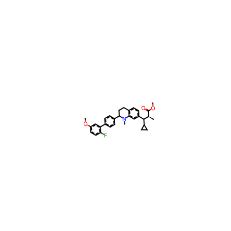 COC(=O)[C@@H](C)C(c1ccc2c(c1)N(C)C(c1ccc(-c3cc(OC)ccc3F)cc1)CC2)C1CC1